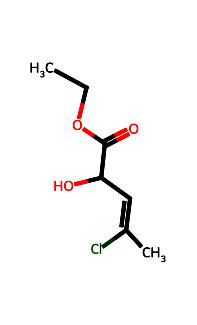 CCOC(=O)C(O)C=C(C)Cl